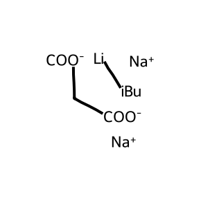 O=C([O-])CC(=O)[O-].[Li][CH](C)CC.[Na+].[Na+]